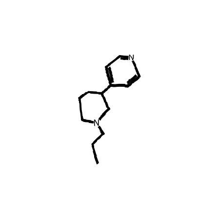 CCCN1CCCC(c2ccncc2)C1